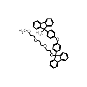 COCCOCCOCCOC1(c2ccc(Oc3ccc(C4(C)c5ccccc5-c5ccccc54)cc3)cc2)c2ccccc2-c2ccccc21